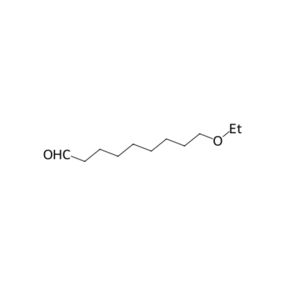 CCOCCCCCCCCC=O